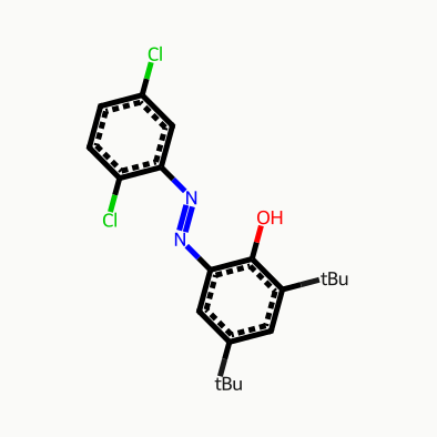 CC(C)(C)c1cc(N=Nc2cc(Cl)ccc2Cl)c(O)c(C(C)(C)C)c1